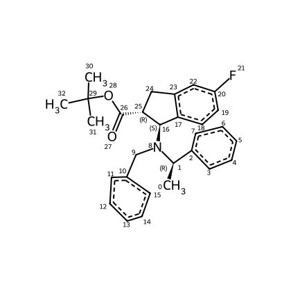 C[C@H](c1ccccc1)N(Cc1ccccc1)[C@@H]1c2ccc(F)cc2C[C@H]1C(=O)OC(C)(C)C